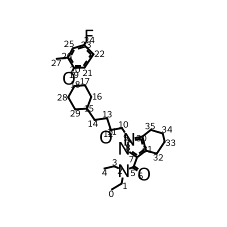 CCN(CC)C(=O)c1nn(CC(=O)CCC2CCC(Oc3ccc(F)cc3C)CC2)c2c1CCCC2